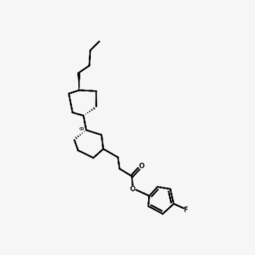 CCCC[C@H]1CC[C@H]([C@H]2CCCC(CCC(=O)Oc3ccc(F)cc3)C2)CC1